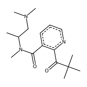 CC(CN(C)C)N(C)C(=O)c1cccnc1C(=O)C(C)(C)C